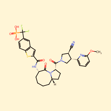 COc1cccc([C@@H]2CN(C(=O)[C@@H]3CC[C@@H]4CCCC[C@H](NC(=O)c5cc6cc(C(F)(F)P(=O)(O)O)ccc6s5)C(=O)N43)C[C@H]2C#N)n1